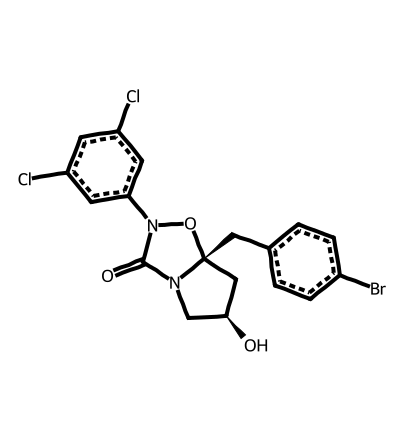 O=C1N(c2cc(Cl)cc(Cl)c2)O[C@]2(Cc3ccc(Br)cc3)C[C@@H](O)CN12